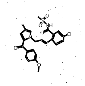 COc1ccc(C(=O)c2cc(C)cn2C/C=C/c2ccc(Cl)cc2C(=O)NS(C)(=O)=O)cc1